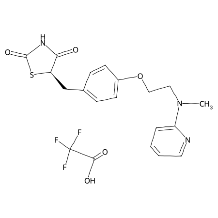 CN(CCOc1ccc(C[C@H]2SC(=O)NC2=O)cc1)c1ccccn1.O=C(O)C(F)(F)F